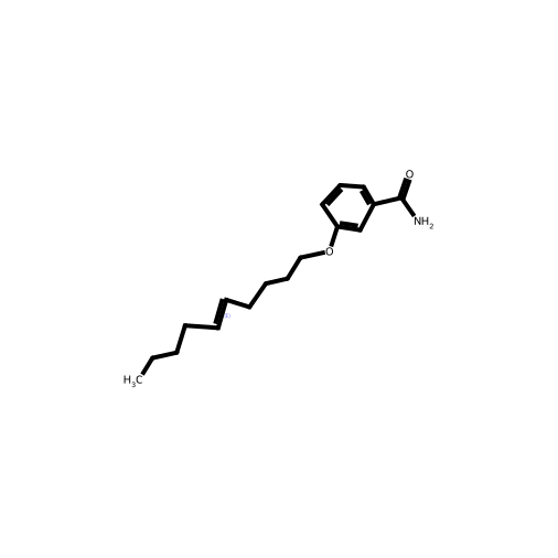 CCCC/C=C/CCCCOc1cccc(C(N)=O)c1